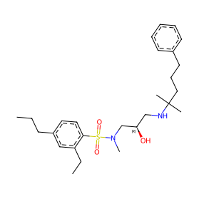 CCCc1ccc(S(=O)(=O)N(C)C[C@H](O)CNC(C)(C)CCCc2ccccc2)c(CC)c1